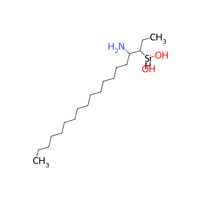 CCCCCCCCCCCCCCCC(N)C(CC)[SiH](O)O